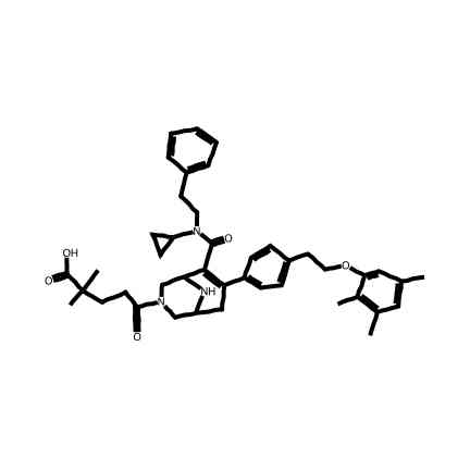 Cc1cc(C)c(C)c(OCCc2ccc(C3=C(C(=O)N(CCc4ccccc4)C4CC4)C4CN(C(=O)CCC(C)(C)C(=O)O)CC(C3)N4)cc2)c1